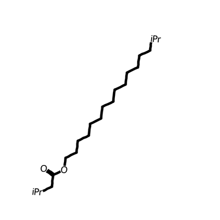 CC(C)CCCCCCCCCCCCCCOC(=O)CC(C)C